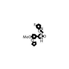 COc1ccc(C2CNC(=O)N(Cc3nc4ccc(F)cc4o3)C2)cc1OC1CCCC1